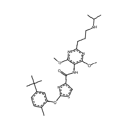 COc1nc(CCCNC(C)C)nc(OC)c1NC(=O)c1csc(Oc2cc(C(C)(C)C)ccc2C)n1